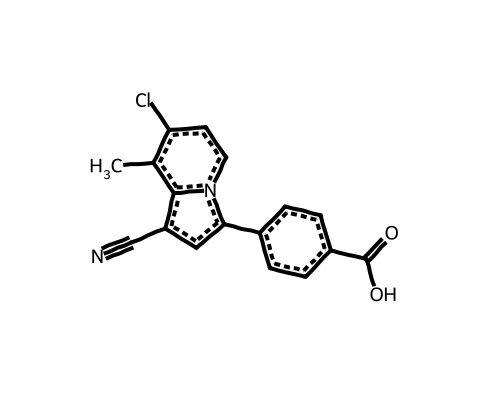 Cc1c(Cl)ccn2c(-c3ccc(C(=O)O)cc3)cc(C#N)c12